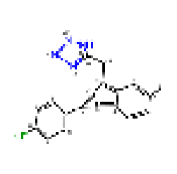 Cc1ccc2c3c(-c4ccc(Cl)cc4)c-3c(Cc3nnn[nH]3)c2c1